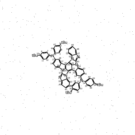 CC(C)(C)c1ccc(N(c2ccc(C(C)(C)C)cc2)c2ccc3c(c2)c2c4c5c(c6cc(N(c7ccc(C(C)(C)C)cc7)c7ccc(C(C)(C)C)cc7)ccc6n5c5nc6ccccc6n45)c4c2n3c2nc3ccccc3n42)cc1